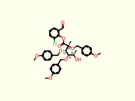 COc1ccc(CO[C@H]([C@@H](C)O)[C@H](OCc2ccc(OC)cc2)[C@@](C)(OCc2ccc(OC)cc2)C(=O)Oc2c(Cl)cccc2C=O)cc1